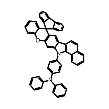 c1ccc(N(c2ccccc2)c2ccc(-n3c4cc5c(cc4c4ccc6ccccc6c43)C3(c4ccccc4O5)c4ccccc4-c4ccccc43)cc2)cc1